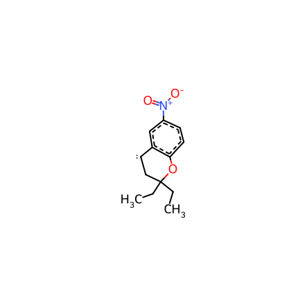 CCC1(CC)C[C]c2cc([N+](=O)[O-])ccc2O1